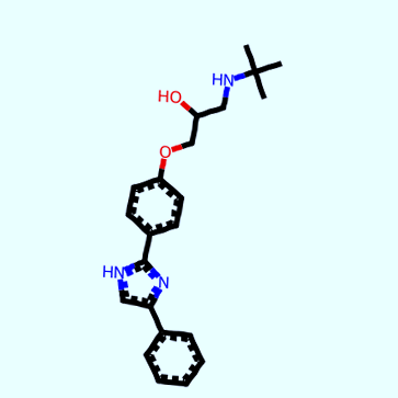 CC(C)(C)NCC(O)COc1ccc(-c2nc(-c3ccccc3)c[nH]2)cc1